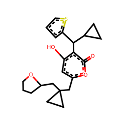 O=c1oc(CC2(CC3CCCO3)CC2)cc(O)c1C(c1cccs1)C1CC1